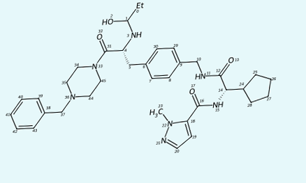 CCC(O)N[C@H](Cc1ccc(CNC(=O)[C@@H](NC(=O)c2ccnn2C)C2CCCC2)cc1)C(=O)N1CCN(Cc2ccccc2)CC1